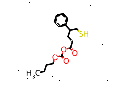 CCCCOC(=O)OC(=O)CCC(CS)c1ccccc1